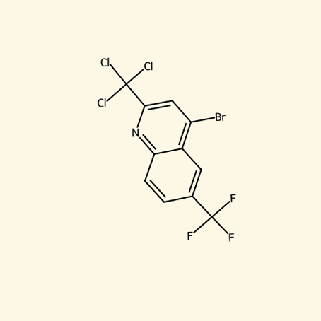 FC(F)(F)c1ccc2nc(C(Cl)(Cl)Cl)cc(Br)c2c1